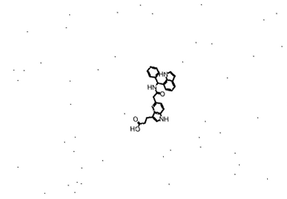 O=C(O)CCc1c[nH]c2ccc(CC(=O)NC(c3ccccc3)c3cccc4cc[nH]c34)cc12